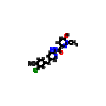 CN1N=C(C(=O)Nc2ccc(Cc3ccc(C#N)c(Cl)c3)cn2)CCC1=O